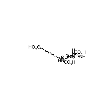 N=CCCC(NC(=O)CNC(=O)CCC(NC(=O)CCCCCCCCCCCCCCCCC(=O)O)C(=O)O)C(=O)O